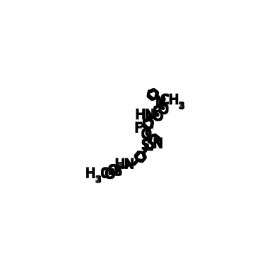 COOSCCNCc1ccc(-c2cc3nccc(Oc4ccc(NC(=O)CC(=O)N(C)c5ccccc5)cc4F)c3s2)cc1